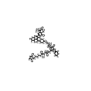 CC[C@@]1(O)C(=O)OCc2c1cc1n(c2=O)Cc2c-1nc1cc(F)c(C)c3c1c2[C@@H](N1CCC(OCNC(=O)CNC(=O)[C@H](Cc2ccccc2)NC(=O)CNC(=O)CNC(=O)CCCCCN2C(=O)CC(C)C2=O)CC1)CC3